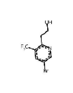 OCCc1ncc(Br)cc1C(F)(F)F